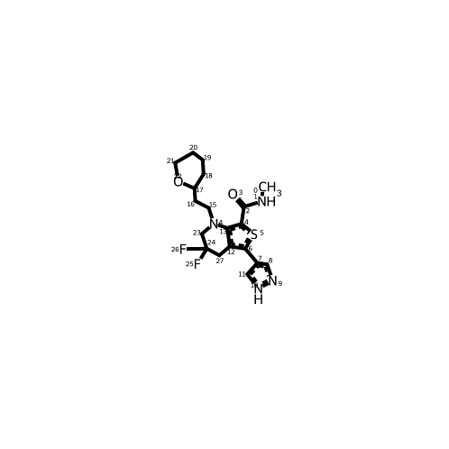 CNC(=O)c1sc(-c2cn[nH]c2)c2c1N(CCC1CCCCO1)CC(F)(F)C2